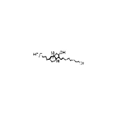 O=C(O)CCCC1=C[C@@H]2CC(O)C(C=CCCCCCCO)[C@H]2CC1